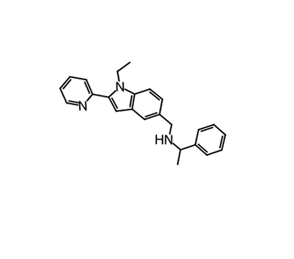 CCn1c(-c2ccccn2)cc2cc(CNC(C)c3ccccc3)ccc21